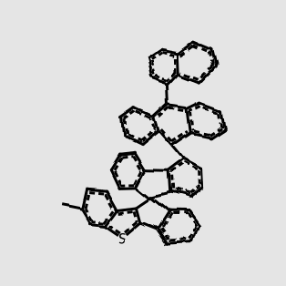 Cc1ccc2c3c(sc2c1)-c1ccccc1C31c2ccccc2-c2c(-c3c4ccccc4c(-c4cccc5ccccc45)c4ccccc34)cccc21